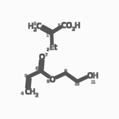 C=C(CC)C(=O)O.C=CC(=O)OCCO